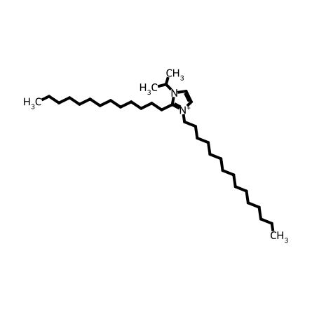 CCCCCCCCCCCCCCC[n+]1ccn(C(C)C)c1CCCCCCCCCCCCC